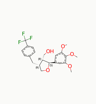 COc1cc([C@H]2OC[C@H](Cc3ccc(C(F)(F)F)cc3)[C@@H]2CO)cc(OC)c1OC